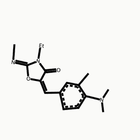 CCN1C(=O)/C(=C\c2ccc(N(C)C)c(C)c2)O/C1=N/C